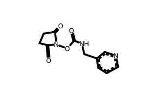 O=C(NCc1cccnc1)ON1C(=O)CCC1=O